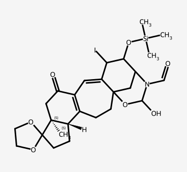 C[C@]12CC(=O)C3=C(CCC45CC(C(O[Si](C)(C)C)C(I)C4=C3)N(C=O)C(O)O5)[C@@H]1CCC21OCCO1